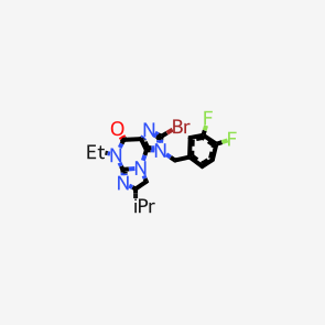 CCN1C(=O)c2nc(Br)n(Cc3ccc(F)c(F)c3)c2N2CC(C(C)C)N=C12